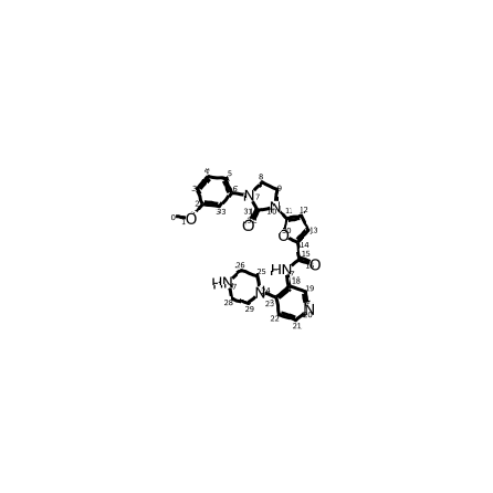 COc1cccc(N2CCN(c3ccc(C(=O)Nc4cnccc4N4CCNCC4)o3)C2=O)c1